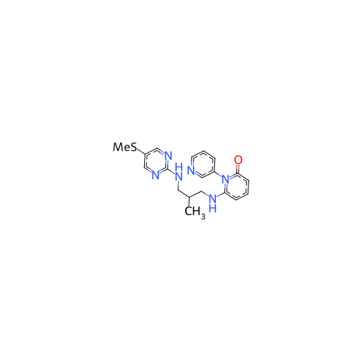 CSc1cnc(NCC(C)CNc2cccc(=O)n2-c2cccnc2)nc1